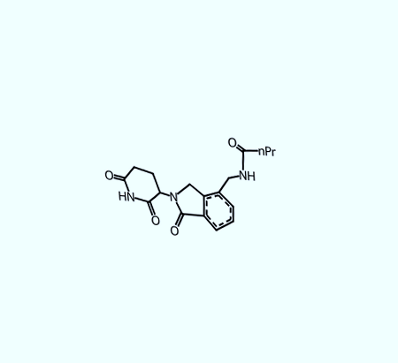 CCCC(=O)NCc1cccc2c1CN(C1CCC(=O)NC1=O)C2=O